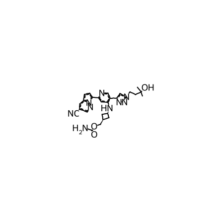 CC(C)(O)CCn1cc(-c2cnc(-c3ccc4cc(C#N)cnn34)cc2N[C@H]2C[C@H](COC(N)=O)C2)nn1